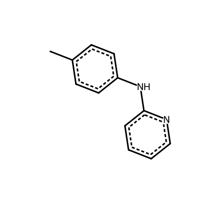 Cc1ccc(Nc2ccccn2)cc1